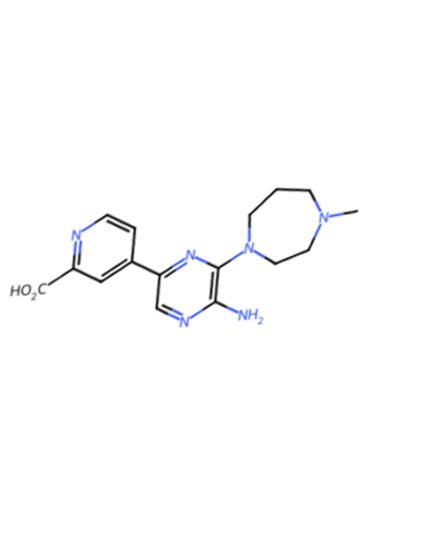 CN1CCCN(c2nc(-c3ccnc(C(=O)O)c3)cnc2N)CC1